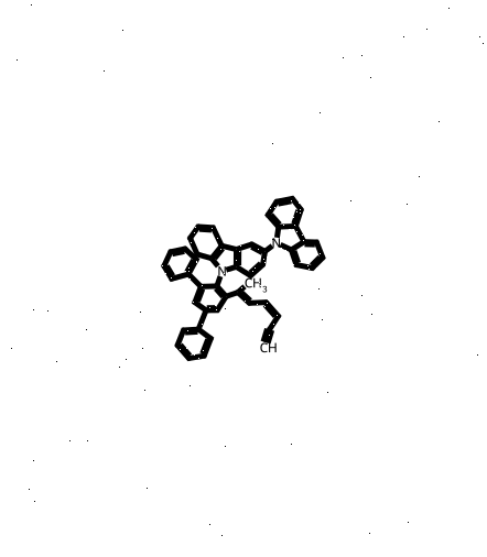 C#C/C=C\C=C(/C)c1cc(-c2ccccc2)cc(-c2ccccc2)c1-n1c2c(c3cc(-n4c5ccccc5c5ccccc54)ccc31)C=CCC2